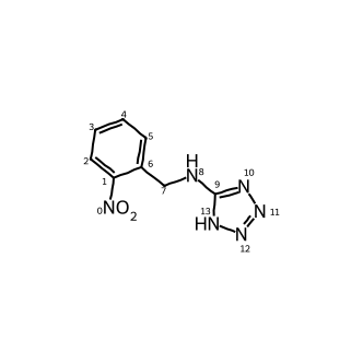 O=[N+]([O-])c1ccccc1CNc1nnn[nH]1